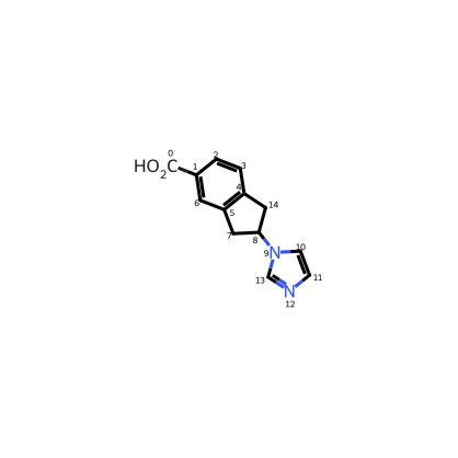 O=C(O)c1ccc2c(c1)CC(n1ccnc1)C2